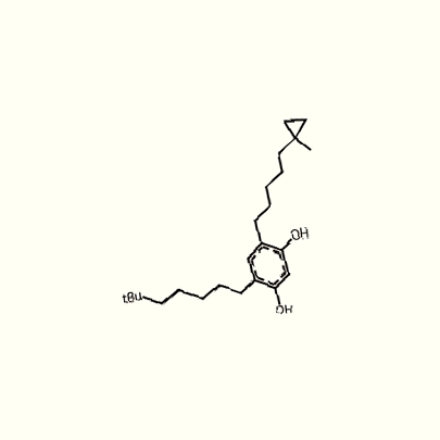 CC(C)(C)CCCCCc1cc(CCCCCC2(C)CC2)c(O)cc1O